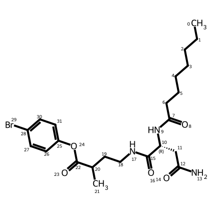 CCCCCCCC(=O)N[C@H](CC(N)=O)C(=O)NCCC(C)C(=O)Oc1ccc(Br)cc1